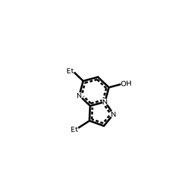 CCc1cc(O)n2ncc(CC)c2n1